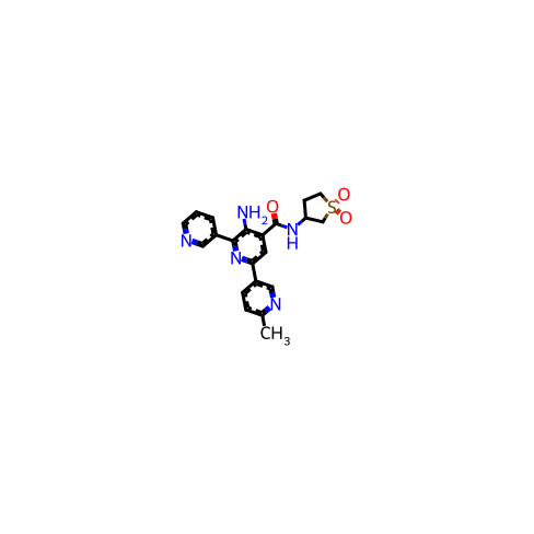 Cc1ccc(-c2cc(C(=O)NC3CCS(=O)(=O)C3)c(N)c(-c3cccnc3)n2)cn1